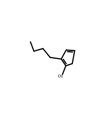 CCCCC1=[C]([Os])CC=C1